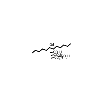 CC(=O)O.CC(=O)O.CC(=O)O.CC(=O)O.CCCCCCCCCCCC.[Gd]